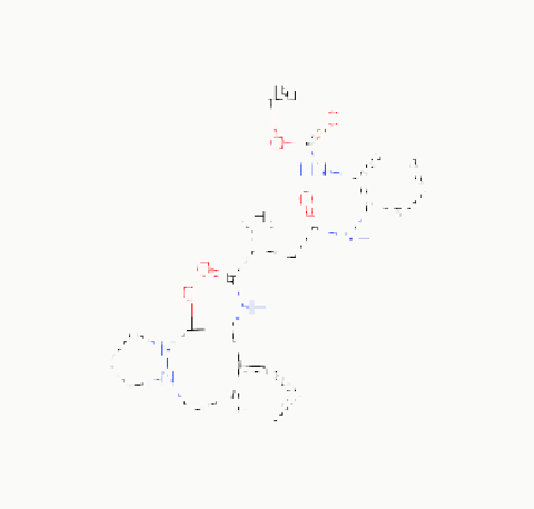 C[C@H](CC(=O)Nc1ccccc1NC(=O)OC(C)(C)C)C(=O)N[C@@H]1C(=O)N2CCCN2Cc2ccccc21